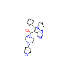 CN1C(c2ccccc2)=C(C(=O)N2CCN(c3ccncc3)CC2)C2C=NC=NC21